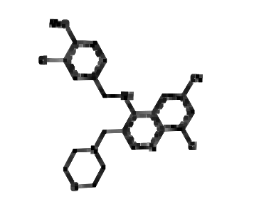 COc1ccc(CNc2c(CN3CCOCC3)cnc3c(Cl)cc(C#N)cc23)cc1Cl